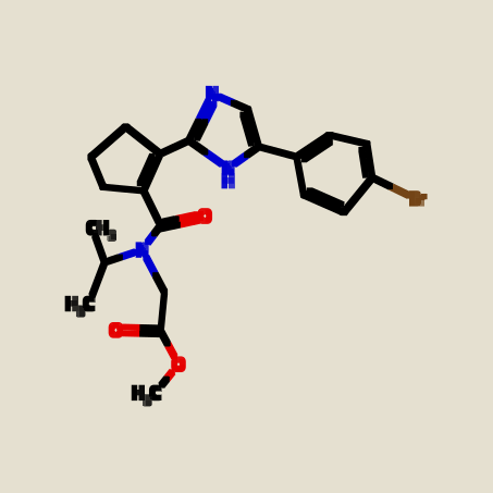 COC(=O)CN(C(=O)C1=C(c2ncc(-c3ccc(Br)cc3)[nH]2)CCC1)C(C)C